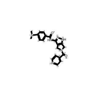 CN(C)c1ccc(C(=O)Nc2n[nH]c3c2CN(C(=O)c2ccncc2)C3)cc1